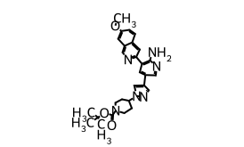 COc1ccc2cc(-c3cc(-c4cnn(C5CCN(C(=O)OC(C)(C)C)CC5)c4)cnc3N)ncc2c1